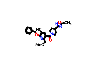 COCc1nc(OCc2ccccc2)c(C#N)cc1C(=O)N1CCC(c2noc(C)n2)CC1